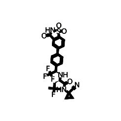 CC(C)(F)C[C@H](N[C@@H](c1ccc(-c2ccc3c(c2)C(=O)NS3(=O)=O)cc1)C(F)(F)F)C(=O)NC1(C#N)CC1